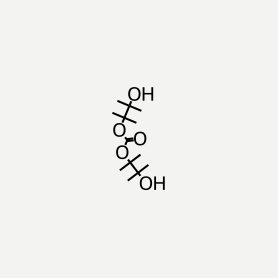 CC(C)(O)C(C)(C)OC(=O)OC(C)(C)C(C)(C)O